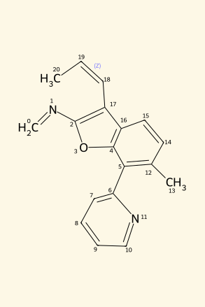 C=Nc1oc2c(-c3ccccn3)c(C)ccc2c1/C=C\C